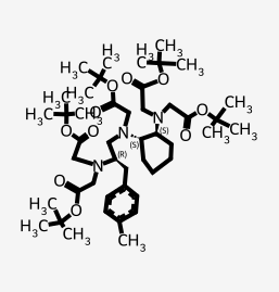 Cc1ccc(C[C@H](CN(CC(=O)OC(C)(C)C)[C@H]2CCCC[C@@H]2N(CC(=O)OC(C)(C)C)CC(=O)OC(C)(C)C)N(CC(=O)OC(C)(C)C)CC(=O)OC(C)(C)C)cc1